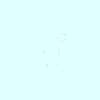 Cc1cc(Nc2ncc3cc(-c4ncc(S(=O)(=O)C5CC5)cc4C)c(=O)n(CCN4CCOCC4)c3n2)ccc1N1CCNCC1